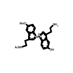 COc1ccc2[nH]cc(CCNC(C)=O)c2c1.NCCc1c[nH]c2ccc(O)cc12